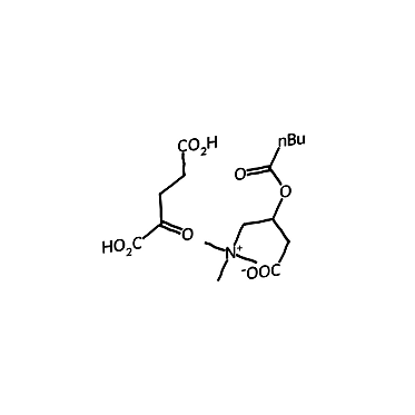 CCCCC(=O)OC(CC(=O)[O-])C[N+](C)(C)C.O=C(O)CCC(=O)C(=O)O